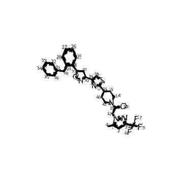 Cc1cc(C(F)(F)F)nn1CC(=O)N1CCC(c2nc(C3=NOC(c4ccccc4Cc4ccccc4)C3)cs2)CC1